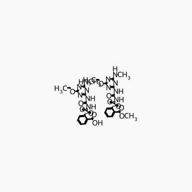 CCOc1nc(NC)nc(NC(=O)NS(=O)(=O)c2ccccc2C(=O)O)n1.CCOc1nc(NC)nc(NC(=O)NS(=O)(=O)c2ccccc2C(=O)OC)n1